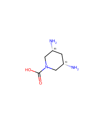 N[C@@H]1C[C@H](N)CN(C(=O)O)C1